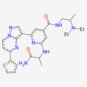 CCN(CC)C(C)CNC(=O)c1cc(NC(C)C(N)=O)nc(-c2cnn3ccc(-c4cccs4)nc23)c1